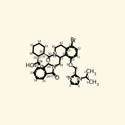 CC(C)n1ccnc1COc1ccc(Br)c2c1C(CN1Cc3ccccc3C1=O)N(C(=O)[C@@H]1CCCC[C@@H]1C(=O)O)CC2